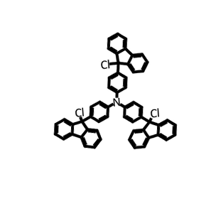 ClC1(c2ccc(N(c3ccc(C4(Cl)c5ccccc5-c5ccccc54)cc3)c3ccc(C4(Cl)c5ccccc5-c5ccccc54)cc3)cc2)c2ccccc2-c2ccccc21